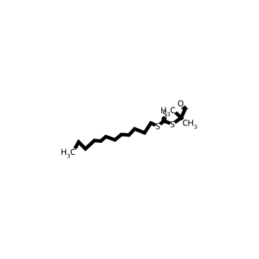 CCCCCCCCCCCCSC(=S)SC(C)(C)[C]=O